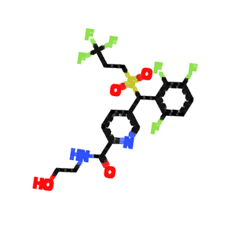 O=C(NCCO)c1ccc(C(c2c(F)ccc(F)c2F)S(=O)(=O)CCC(F)(F)F)cn1